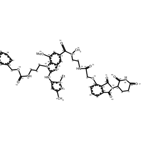 CCn1nc(C)cc1Nc1nc2cc(C(=O)N(C)CCNC(=O)COc3cccc4c3C(=O)N(C3CCC(=O)NC3=O)C4=O)cc(OC)c2n1CCCNC(=O)OCc1ccccc1